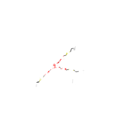 B.CC(C)CCSCCOCCOB(OCCOCCSCCC(C)C)OCCOCCSCCC(C)C